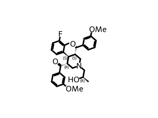 COc1cccc(C(=O)[C@H]2CN(C[C@@H](C)O)C[C@@H](C(=O)c3cccc(OC)c3)[C@@H]2c2cccc(F)c2C)c1